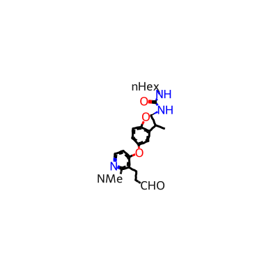 CCCCCCNC(=O)N[C@@H]1Oc2ccc(Oc3ccnc(NC)c3CCC=O)cc2C1C